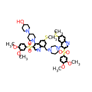 COc1ccc(S(=O)(=O)c2cnc3ccc(SC)cc3c2N2CCCN(Cc3cc(SC)cc4c(N5CCC(N6CCC(O)CC6)CC5)c(S(=O)(=O)c5ccc(OC)c(OC)c5)cnc34)CC2)cc1OC